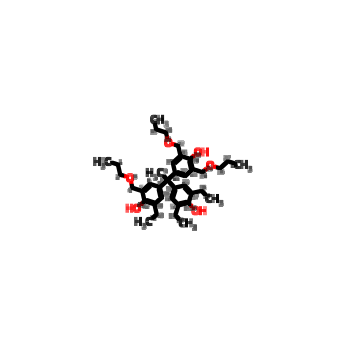 CCCOCc1cc(C(C)(c2cc(CC)c(O)c(CC)c2)c2cc(COCCC)c(O)c(COCCC)c2)cc(CC)c1O